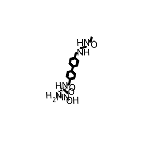 CC(=O)NCCNCc1ccc(-c2ccc(C(=O)N[C@@H](CN)C(=O)NO)cc2)cc1